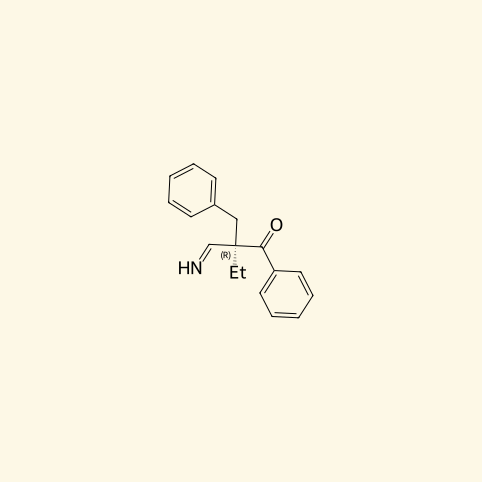 CC[C@](C=N)(Cc1ccccc1)C(=O)c1ccccc1